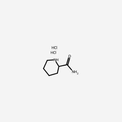 Cl.Cl.NC(=O)C1CCCCN1